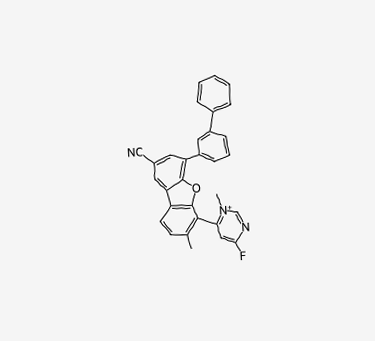 Cc1ccc2c(oc3c(-c4cccc(-c5ccccc5)c4)cc(C#N)cc32)c1-c1cc(F)nc[n+]1C